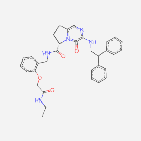 CCNC(=O)COc1ccccc1CNC(=O)[C@@H]1CCc2cnc(NCC(c3ccccc3)c3ccccc3)c(=O)n21